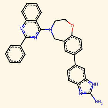 Nc1nc2ccc(-c3ccc4c(c3)CN(c3nc(-c5ccccc5)nc5ccccc35)CCO4)cc2[nH]1